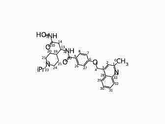 Cc1cc(COc2ccc(C(=O)NC(CC(=O)NO)C3CCN(C(C)C)CC3)cc2)c2ccccc2n1